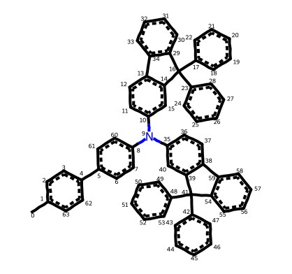 Cc1ccc(-c2ccc(N(c3ccc4c(c3)C(c3ccccc3)(c3ccccc3)c3ccccc3-4)c3ccc4c(c3)C(c3ccccc3)(c3ccccc3)c3ccccc3-4)cc2)cc1